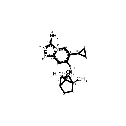 CC1(C)C2CC[C@@]1(C)[C@H](Oc1cc3nnc(N)n3cc1C1CC1)C2